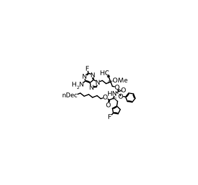 C#C[C@](CCn1cnc2c(N)nc(F)nc21)(COP(=O)(N[C@@H](CC1=CC(F)=CC1)C(=O)OCCCCCCCCCCCCCCCC)Oc1ccccc1)OC